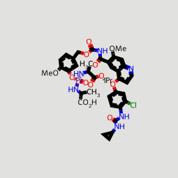 COc1ccc(COC(=O)NC(=O)c2cc3c(Oc4ccc(NC(=O)NC5CC5)c(Cl)c4)ccnc3cc2OC)cc1OP(=O)(NC(C)C(=O)O)NC(C)C(=O)OC(C)C